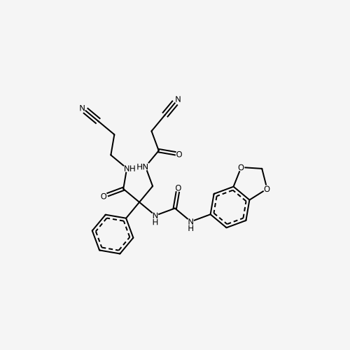 N#CCCNC(=O)C(CNC(=O)CC#N)(NC(=O)Nc1ccc2c(c1)OCO2)c1ccccc1